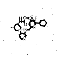 C[C@@H]1C[C@H](NC(=O)OC(C)(C)C)CN(c2ccncc2NCc2ccc(F)c(C3=CCCCC3)n2)C1